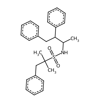 CC(NS(=O)(=O)C(C)(C)Cc1ccccc1)C(Cc1ccccc1)c1ccccc1